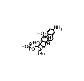 CC(C)(C)CC[C@H]1C[C@H]2[C@@H]3CCC4=CC(N)C=C[C@]4(C)[C@@]3(F)[C@@H](O)C[C@]2(C)[C@@]1(O)C(=O)COP(C)(=O)O